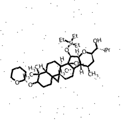 CC[Si](CC)(CC)O[C@H]1[C@H]2O[C@@H]([C@H](O)C(C)C)C[C@@H](C)[C@@H]2[C@@]2(C)CC[C@@]34CC35CCC(O[C@H]3CCCCO3)C(C)(C)[C@@H]5CC[C@H]4[C@]12C